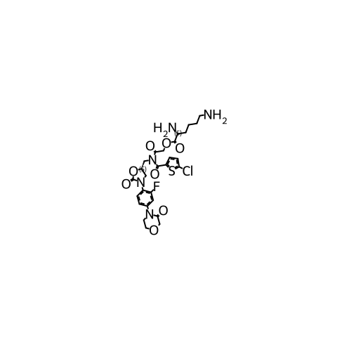 NCCCC[C@H](N)C(=O)OCC(=O)N(C[C@H]1CN(c2ccc(N3CCOCC3=O)cc2F)C(=O)O1)C(=O)c1ccc(Cl)s1